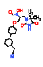 CC1(C)C(=O)NC(=O)N1CC(COc1ccc(-c2cccc(CC#N)c2)cc1)N(O)C=O